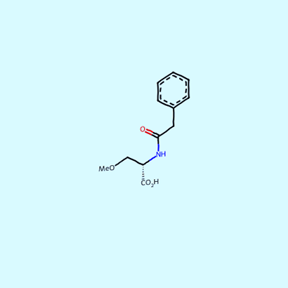 COC[C@H](NC(=O)Cc1ccccc1)C(=O)O